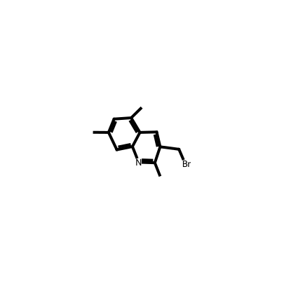 Cc1cc(C)c2cc(CBr)c(C)nc2c1